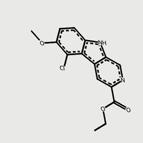 CCOC(=O)c1cc2c(cn1)[nH]c1ccc(OC)c(Cl)c12